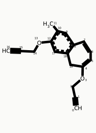 C#CCOC1=CC=Cc2cc(C)c(OCC#C)cc2C1